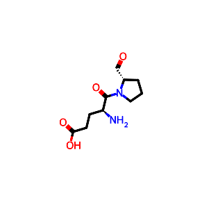 N[C@@H](CCC(=O)O)C(=O)N1CCC[C@H]1C=O